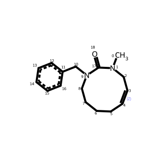 CN1C/C=C\CCCCN(Cc2ccccc2)C1=O